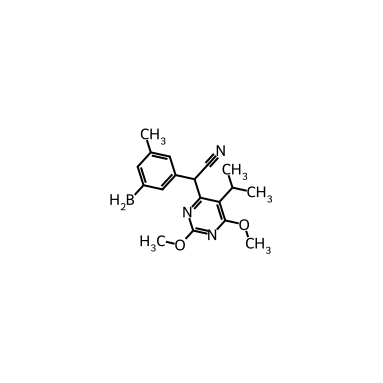 Bc1cc(C)cc(C(C#N)c2nc(OC)nc(OC)c2C(C)C)c1